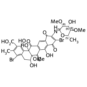 CO[C@@H]1[C@@H](O)[C@@H](OC)[C@@H](NC2=C(Br)C(=O)c3c(cc4c(c3O)C(=O)C3(OC)C(O)Cc5c(Br)c(C)c(C(=O)O)c(O)c5C3(O)C4=O)C2=O)O[C@H]1C